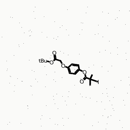 CC(C)(C)OC(=O)COc1ccc(OC(=O)C(C)(C)I)cc1